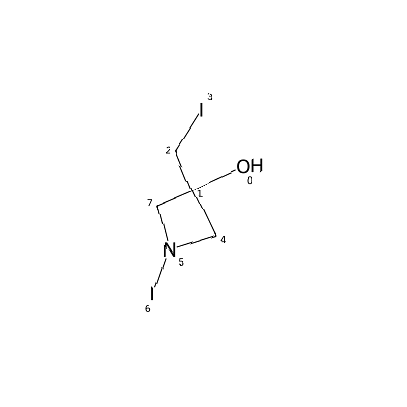 OC1(CI)CN(I)C1